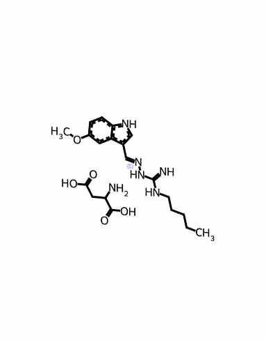 CCCCCNC(=N)N/N=C/c1c[nH]c2ccc(OC)cc12.NC(CC(=O)O)C(=O)O